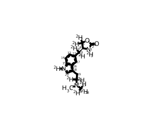 [2H]N1C(=O)OC([2H])([2H])[C@@H]1C([2H])([2H])c1ccc2c(c1)c(CC([2H])([2H])N(C)C([2H])([2H])[2H])cn2[2H]